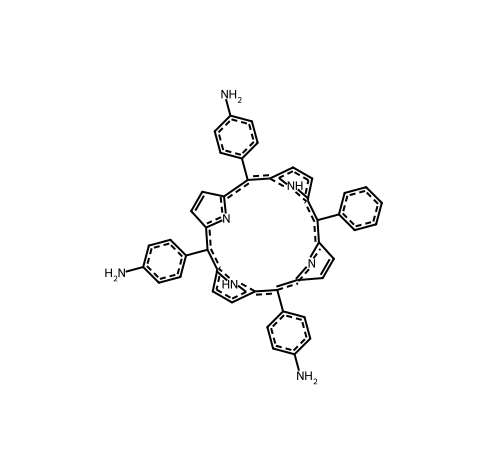 Nc1ccc(-c2c3nc(c(-c4ccc(N)cc4)c4ccc([nH]4)c(-c4ccc(N)cc4)c4nc(c(-c5ccccc5)c5ccc2[nH]5)C=C4)C=C3)cc1